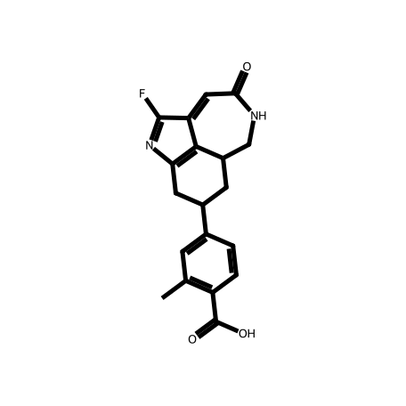 Cc1cc(C2CC3=C4C(=CC(=O)NCC4C2)C(F)=N3)ccc1C(=O)O